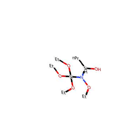 CCC[SiH](O)N(OCC)[Si](OCC)(OCC)OCC